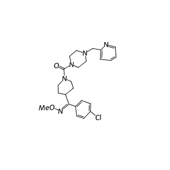 CON=C(c1ccc(Cl)cc1)C1CCN(C(=O)N2CCN(Cc3ccccn3)CC2)CC1